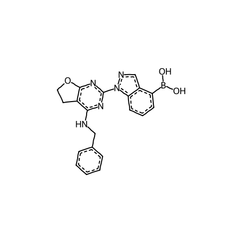 OB(O)c1cccc2c1cnn2-c1nc(NCc2ccccc2)c2c(n1)OCC2